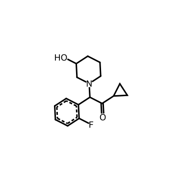 O=C(C1CC1)C(c1ccccc1F)N1CCCC(O)C1